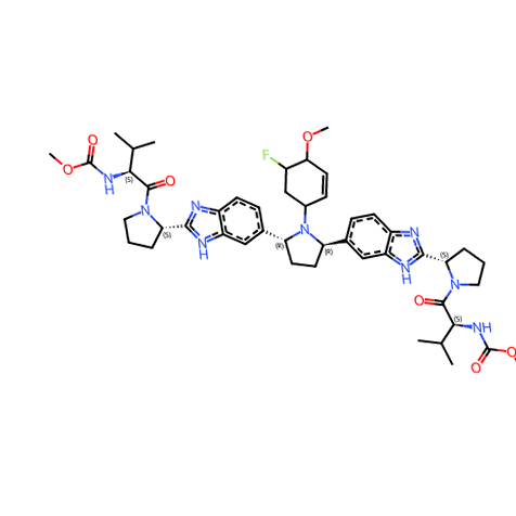 COC(=O)N[C@H](C(=O)N1CCC[C@H]1c1nc2ccc([C@H]3CC[C@H](c4ccc5nc([C@@H]6CCCN6C(=O)[C@@H](NC(=O)OC)C(C)C)[nH]c5c4)N3C3C=CC(OC)C(F)C3)cc2[nH]1)C(C)C